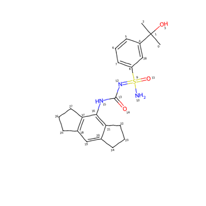 CC(C)(O)c1cccc(S(N)(=O)=NC(=O)Nc2c3c(cc4c2CCC4)CCC3)c1